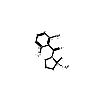 C[C@]1(C(=O)O)CCCN1C(=O)c1c(N)cccc1N